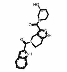 O=C(c1cc2ccccc2[nH]1)N1CCc2[nH]nc(C(=O)N3CCC[C@H](O)C3)c2C1